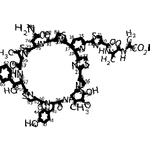 C=C(NC(=O)C(=C)NC(=O)c1csc(-c2ccc3c(n2)-c2csc(n2)-c2csc(n2)C(C(C)C(=O)CO)NC(=O)C(Cc2ccc(O)cc2)NC(=O)C2CSC(=N2)C(C(O)c2ccccc2)NC(=O)C2N=C(SC2C)C(CC(N)=O)NC(=O)c2csc-3n2)n1)C(=O)O